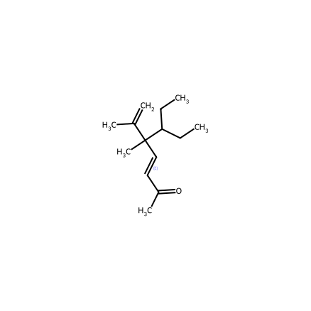 C=C(C)C(C)(/C=C/C(C)=O)C(CC)CC